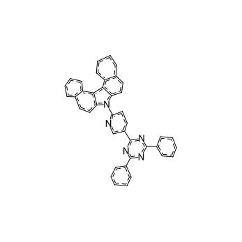 c1ccc(-c2nc(-c3ccccc3)nc(-c3ccc(-n4c5ccc6ccccc6c5c5c6ccccc6ccc54)nc3)n2)cc1